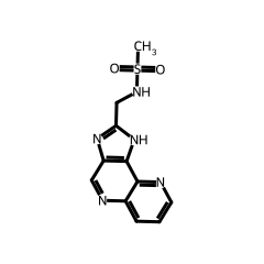 CS(=O)(=O)NCc1nc2cnc3cccnc3c2[nH]1